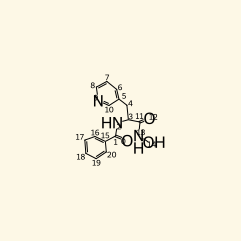 O=C(NC(Cc1cccnc1)C(=O)NO)c1ccccc1